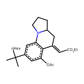 CCCCCCC(C)(C)c1cc(OC(C)=O)c2c(c1)N1CCCC1C/C2=C\C(=O)OCC